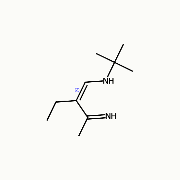 CC/C(=C/NC(C)(C)C)C(C)=N